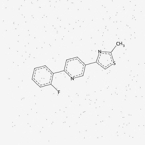 Cc1nc(-c2ccc(-c3ccccc3F)nc2)cs1